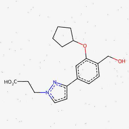 O=C(O)CCn1ccc(-c2ccc(CO)c(OC3CCCC3)c2)n1